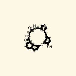 N#Cc1ccc2cc1Oc1ccc3cccc(c3c1)C(=O)NCC(=O)NCc1cncn1C2